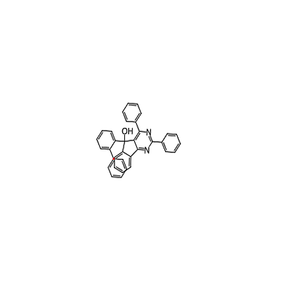 OC1(c2ccccc2-c2ccccc2)c2ccccc2-c2nc(-c3ccccc3)nc(-c3ccccc3)c21